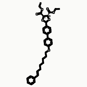 CCOC(=O)[C@@H]1OC(c2ccc(-c3ccc(OCCCCCCC=Cc4ccccc4)cc3)cc2)O[C@H]1C(=O)OCC